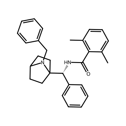 Cc1cccc(C)c1C(=O)N[C@H](c1ccccc1)C12CCC(CC1)N2Cc1ccccc1